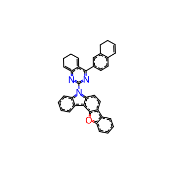 C1=Cc2ccc(-c3nc(-n4c5ccccc5c5c6oc7ccccc7c6ccc54)nc4c3=CCCC=4)cc2CC1